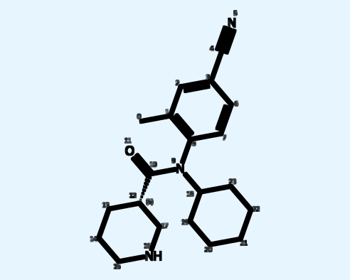 Cc1cc(C#N)ccc1N(C(=O)[C@H]1CCCNC1)C1CCCCC1